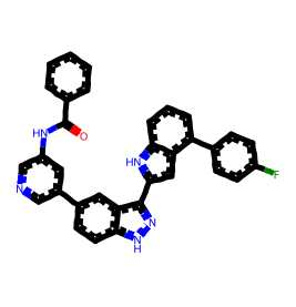 O=C(Nc1cncc(-c2ccc3[nH]nc(-c4cc5c(-c6ccc(F)cc6)cccc5[nH]4)c3c2)c1)c1ccccc1